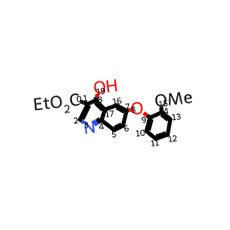 CCOC(=O)c1cnc2ccc(Oc3ccccc3OC)cc2c1O